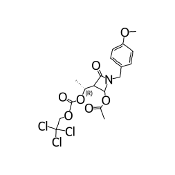 COc1ccc(CN2C(=O)C([C@@H](C)OC(=O)OCC(Cl)(Cl)Cl)C2OC(C)=O)cc1